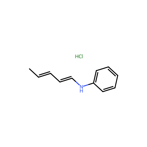 CC=CC=CNc1ccccc1.Cl